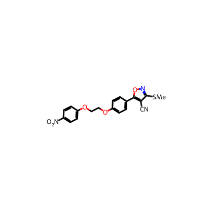 CSc1noc(-c2ccc(OCCOc3ccc([N+](=O)[O-])cc3)cc2)c1C#N